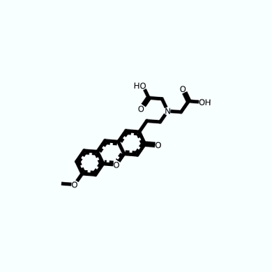 COc1ccc2cc3cc(CCN(CC(=O)O)CC(=O)O)c(=O)cc-3oc2c1